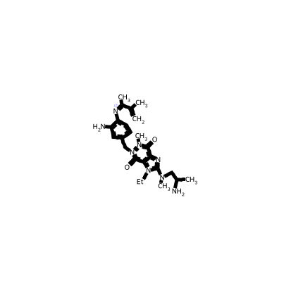 C=C(C)/C(C)=N\c1ccc(Cn2c(=O)c3c(nc(N(C)CC(C)N)n3CC)c(=O)n2C)cc1N